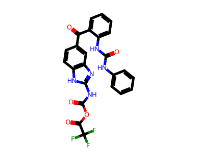 O=C(Nc1ccccc1)Nc1ccccc1C(=O)c1ccc2[nH]c(NC(=O)OC(=O)C(F)(F)F)nc2c1